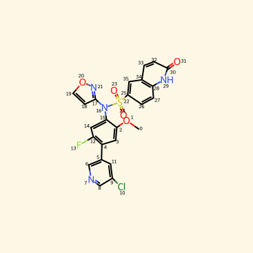 COc1cc(-c2cncc(Cl)c2)c(F)cc1N(c1ccon1)S(=O)(=O)c1ccc2[nH]c(=O)ccc2c1